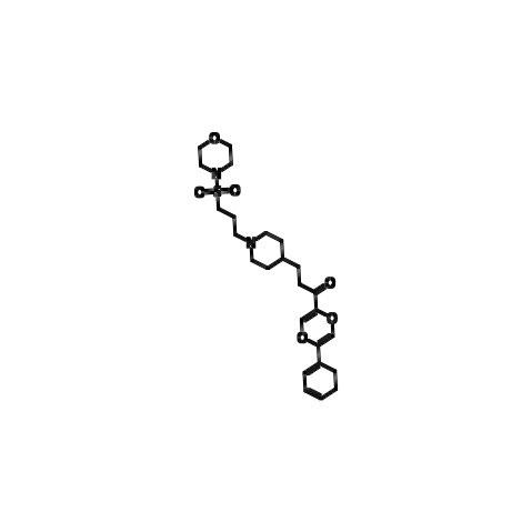 O=C(CCC1CCN(CCCS(=O)(=O)N2CCOCC2)CC1)C1=COC(C2=CC=CCC2)=CO1